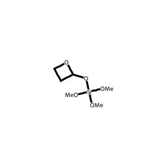 CO[Si](OC)(OC)OC1CCO1